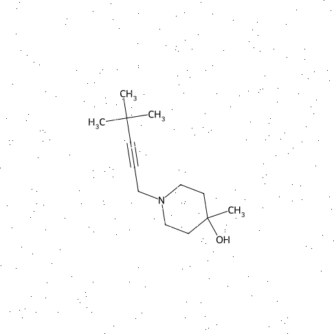 CC(C)(C)C#CCN1CCC(C)(O)CC1